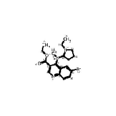 CCOC(=O)c1cnc2ccc(Br)cc2c1N(C)C1CCCN1CC